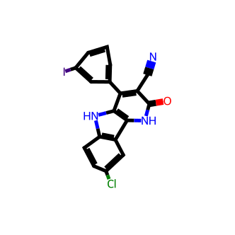 N#Cc1c(-c2cccc(I)c2)c2[nH]c3ccc(Cl)cc3c2[nH]c1=O